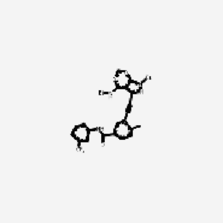 CCNc1ncnc2c1c(C#Cc1cc(C(=O)Nc3cccc(C(F)(F)F)c3)ccc1C)nn2CC